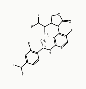 CC(C(F)F)C1COC(=O)N1c1nc(N[C@@H](C)c2ccc(C(F)F)cc2F)ncc1F